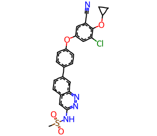 CS(=O)(=O)Nc1cc2ccc(-c3ccc(Oc4cc(Cl)c(OC5CC5)c(C#N)c4)cc3)cc2nn1